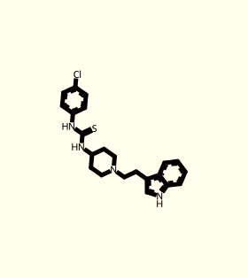 S=C(Nc1ccc(Cl)cc1)NC1CCN(CCc2c[nH]c3ccccc23)CC1